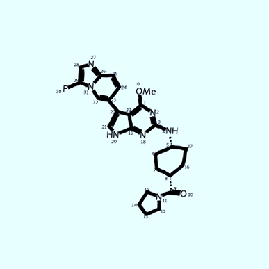 COc1nc(N[C@H]2CC[C@@H](C(=O)N3CCCC3)CC2)nc2[nH]cc(-c3ccc4ncc(F)n4c3)c12